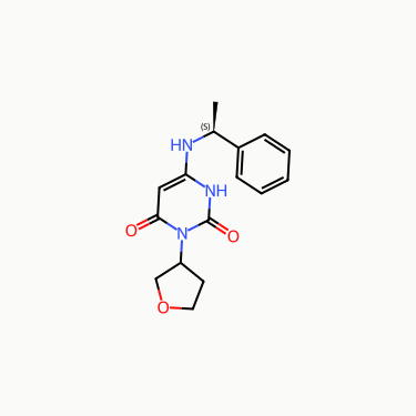 C[C@H](Nc1cc(=O)n(C2CCOC2)c(=O)[nH]1)c1ccccc1